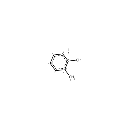 C[n+]1ccccc1Cl.[I+]